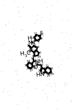 C[C@H]1C2=CNN(c3ccc(F)cc3)C2=CC2=C1[C@@H](CC(NC(=O)Cc1c[nH]c3ccccc13)c1ccccc1)CC2